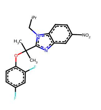 CC(C)Cn1c(C(C)(C)Oc2ccc(F)cc2F)nc2cc([N+](=O)[O-])ccc21